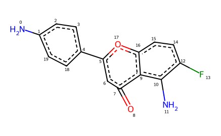 Nc1ccc(-c2cc(=O)c3c(N)c(F)ccc3o2)cc1